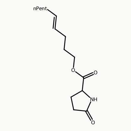 CCCCCC=CCCCOC(=O)C1CCC(=O)N1